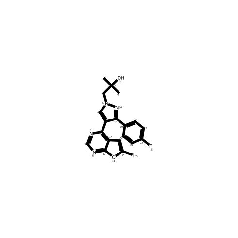 CC(C)(O)Cn1cc(-c2ncnc3oc(I)cc23)c(-c2ccc(F)cc2)n1